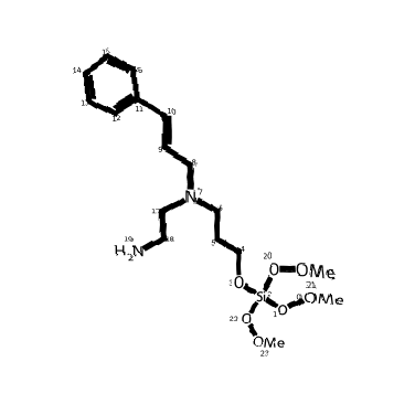 COO[Si](OCCCN(CC=Cc1ccccc1)CCN)(OOC)OOC